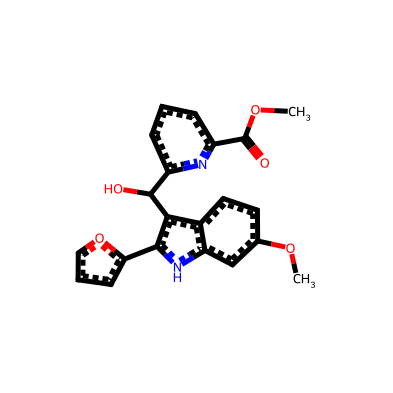 COC(=O)c1cccc(C(O)c2c(-c3ccco3)[nH]c3cc(OC)ccc23)n1